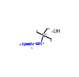 C[Si](C)(C)N=[N+]=[N-].[LiH]